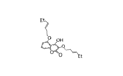 CCC=CCCOc1c(O)c2c(OCCC=CCC)cccc2oc1=O